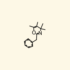 CC1=C(C)C(C)(C)N=C(Cc2ccccc2)O1